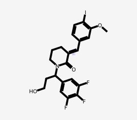 COc1cc(/C=C2\CCCN(C(CCO)c3cc(F)c(F)c(F)c3)C2=O)ccc1I